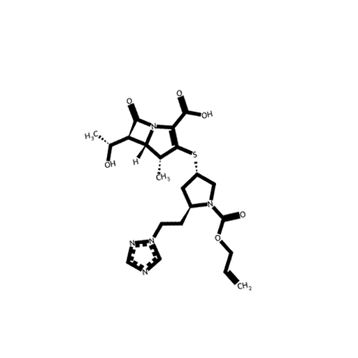 C=CCOC(=O)N1C[C@@H](SC2=C(C(=O)O)N3C(=O)[C@H]([C@@H](C)O)[C@H]3[C@H]2C)C[C@@H]1CCn1cncn1